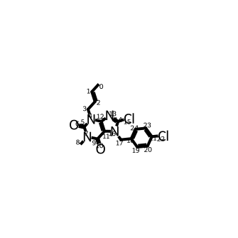 C/C=C/Cn1c(=O)n(C)c(=O)c2c1nc(Cl)n2Cc1ccc(Cl)cc1